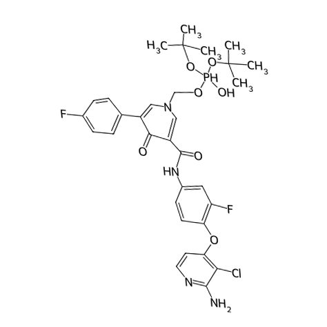 CC(C)(C)O[PH](O)(OCn1cc(C(=O)Nc2ccc(Oc3ccnc(N)c3Cl)c(F)c2)c(=O)c(-c2ccc(F)cc2)c1)OC(C)(C)C